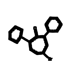 O=c1c(-c2ccccc2)ccc(Br)cc1-c1ccccc1